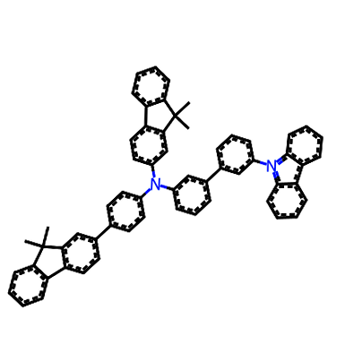 CC1(C)c2ccccc2-c2ccc(-c3ccc(N(c4cccc(-c5cccc(-n6c7ccccc7c7ccccc76)c5)c4)c4ccc5c(c4)C(C)(C)c4ccccc4-5)cc3)cc21